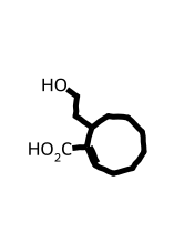 O=C(O)C1=CCCCCCCC1CCO